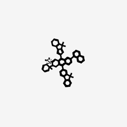 CC1(C)C2=CC(c3c4c(c(-c5ccc6c(c5)C(C)(C)c5ccccc5-6)c5ccc(-c6cccc7ccccc67)cc35)CC3C(=C4)[Si](C)(C)C4C=CC=CC34C)=C=C2C2=C1C=CCC2